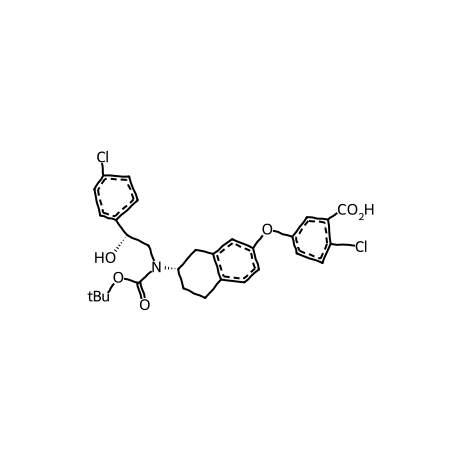 CC(C)(C)OC(=O)N(C[C@H](O)c1ccc(Cl)cc1)[C@H]1CCc2ccc(Oc3ccc(Cl)c(C(=O)O)c3)cc2C1